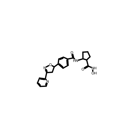 O=C(NC1CCCC1C(=O)NO)c1ccc(C2CC(c3ccccn3)=NO2)cc1